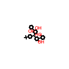 CC(C)(C)c1ccc(C(c2ccc(O)c(-c3ccccc3O)c2)c2ccc(O)c(-c3ccccc3O)c2)cc1